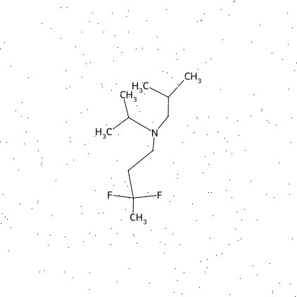 CC(C)CN(CCC(C)(F)F)C(C)C